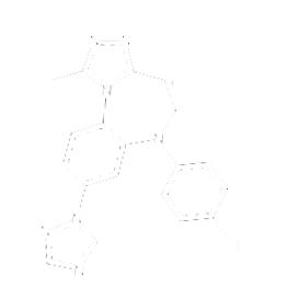 Cc1nnc2n1-c1ccc(-n3cncn3)cc1N(c1ccc(Cl)cc1)C[C@H]2C